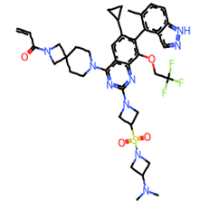 C=CC(=O)N1CC2(CCN(c3nc(N4CC(S(=O)(=O)N5CC(N(C)C)C5)C4)nc4c(OCC(F)(F)F)c(-c5c(C)ccc6[nH]ncc56)c(C5CC5)cc34)CC2)C1